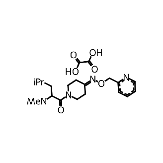 CNC(CC(C)C)C(=O)N1CCC(=NOCc2ccccn2)CC1.O=C(O)C(=O)O